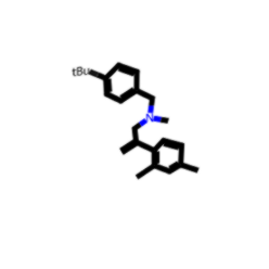 C=C(CN(C)Cc1ccc(C(C)(C)C)cc1)c1ccc(C)cc1C